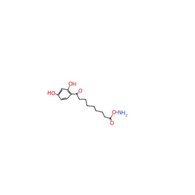 NOC(=O)CCCCCCCC(=O)c1ccc(O)cc1O